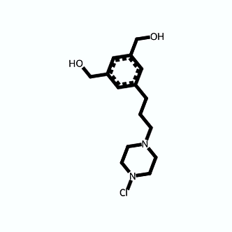 OCc1cc(CO)cc(CCCN2CCN(Cl)CC2)c1